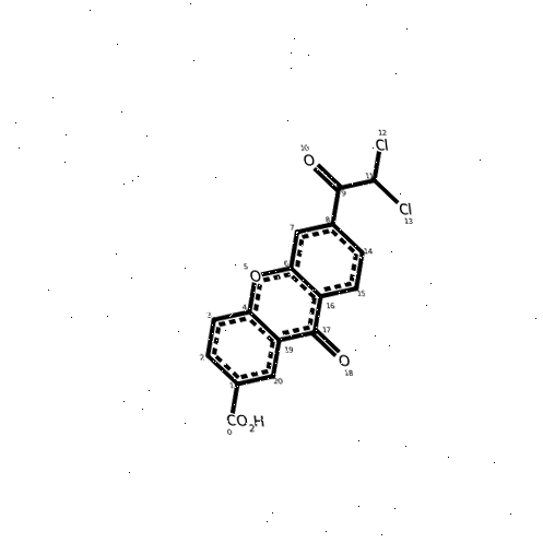 O=C(O)c1ccc2oc3cc(C(=O)C(Cl)Cl)ccc3c(=O)c2c1